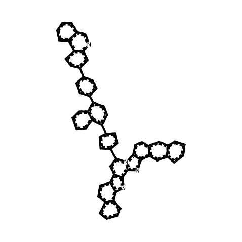 c1ccc2cc3c(ccc4c3nc3c5sc6c7ccccc7ccc6c5cc(-c5ccc(-c6ccc(-c7ccc(-c8ccc9c(c8)ncc8ccccc89)cc7)c7ccccc67)cc5)n43)cc2c1